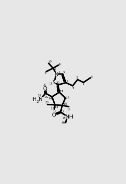 CCCCC1=CN(C(C)(C)C)S/C1=C1/CC(C)(C(=O)NC)C(C)(C)C1C(N)=O